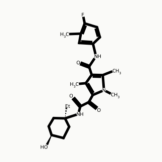 CC[C@]1(NC(=O)C(=O)c2c(C)c(C(=O)Nc3ccc(F)c(C)c3)c(C)n2C)CC[C@@H](O)CC1